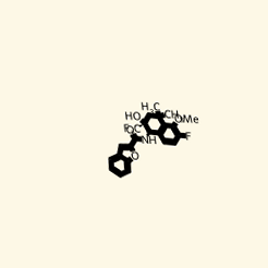 COc1c(F)ccc2c1C(C)(C)C[C@@](O)(C(F)(F)F)[C@@H]2NC(=O)c1cc2ccccc2o1